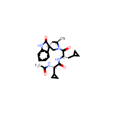 N#C[C@@H]1C[C@@]2(CN1C(=O)[C@H](CC1CC1)NC(=O)[C@@H](NC(=O)C(F)(F)F)C1CC1)C(=O)Nc1ccccc12